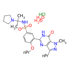 CCCOc1ccc(S(=O)(=O)NC(C)(C)N2CCCC2)cc1-c1nc2c(CCC)nn(C)c2c(=O)[nH]1.Cl.O.O